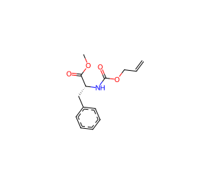 C=CCOC(=O)N[C@H](Cc1ccccc1)C(=O)OC